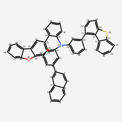 c1cc(-c2ccc3ccccc3c2)cc(N(c2cccc(-c3cccc4sc5ccccc5c34)c2)c2ccccc2-c2ccc3oc4ccccc4c3c2)c1